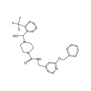 O=C(NCc1ccnc(OCc2ccccc2)c1)N1CCN(C(O)c2ccccc2C(F)(F)F)CC1